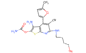 Cc1ccc(-c2c(C#N)c(NCCCCO)nc3sc(OC(N)=O)c(N)c23)o1